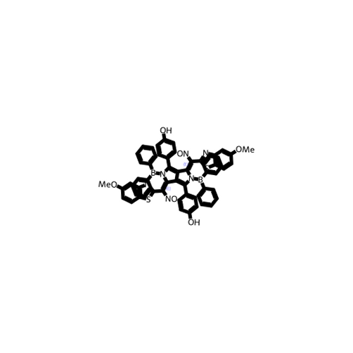 COc1ccc2sc(/C(N=O)=c3/c4c(-c5ccc(O)cc5)n(B(c5ccccc5)c5ccccc5)/c(=C(/N=O)c5nc6cc(OC)ccc6s5)c4c(-c4ccc(O)cc4)n3B(c3ccccc3)c3ccccc3)nc2c1